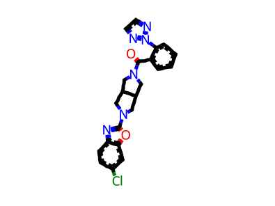 O=C(c1ccccc1-n1nccn1)N1CC2CN(c3nc4ccc(Cl)cc4o3)CC2C1